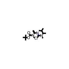 C=C(/N=C(\Cl)N(C)C(C)C(C)C)N(C)C(=O)OC(C)(C)C